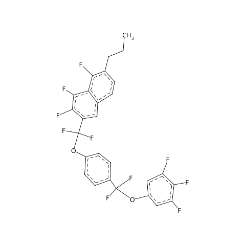 CCCc1ccc2cc(C(F)(F)Oc3ccc(C(F)(F)Oc4cc(F)c(F)c(F)c4)cc3)c(F)c(F)c2c1F